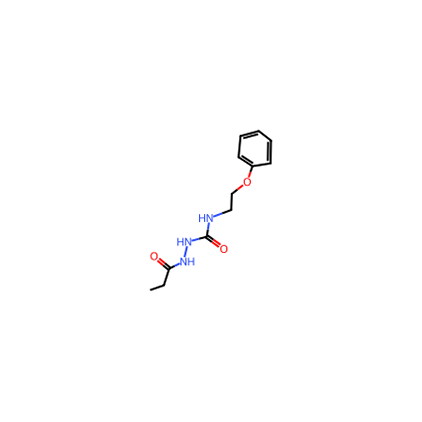 CCC(=O)NNC(=O)NCCOc1ccccc1